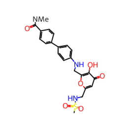 CNC(=O)c1ccc(-c2ccc(NCc3oc(CNS(C)(=O)=O)cc(=O)c3O)cc2)cc1